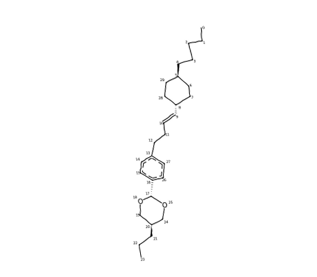 CCCCC[C@H]1CC[C@H](C=CCCc2ccc([C@H]3OC[C@H](CCC)CO3)cc2)CC1